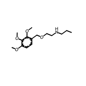 CCCNCCOCc1ccc(OC)c(OC)c1OC